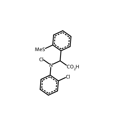 CSc1ccccc1C(C(=O)O)N(Cl)c1ccccc1Cl